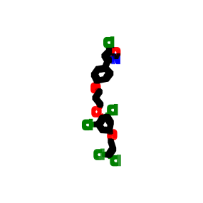 ClC(Cl)=CCOc1cc(Cl)c(OCCCOc2ccc(-c3cc(Cl)on3)cc2)c(Cl)c1